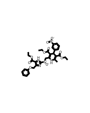 CCOC(=O)C1=C(C)NC(C[S+]([O-])c2nc(COc3ccccc3)c(C(=O)OCC)[nH]2)=C(C(=O)OCC)C1c1cccc([N+](=O)[O-])c1